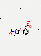 COC(=O)Cc1ccccc1OC1CCN(C(C)=O)C1